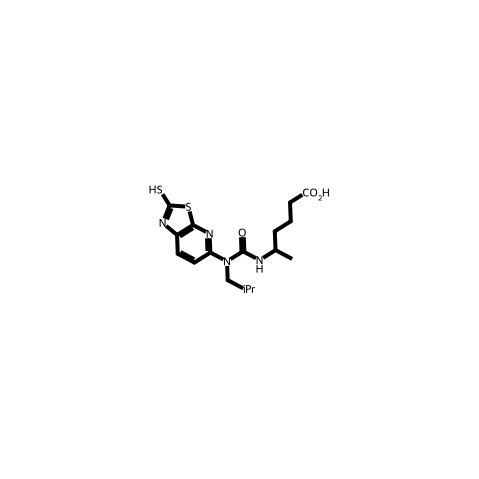 CC(C)CN(C(=O)NC(C)CCCC(=O)O)c1ccc2nc(S)sc2n1